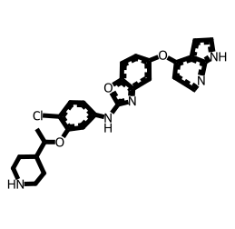 CC(Oc1cc(Nc2nc3cc(Oc4ccnc5[nH]ccc45)ccc3o2)ccc1Cl)C1CCNCC1